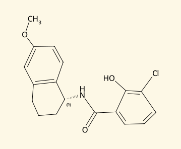 COc1ccc2c(c1)CCC[C@H]2NC(=O)c1cccc(Cl)c1O